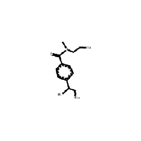 CN(CCO)C(=O)c1ccc(C(CC(C)(C)C)C(C)(C)C)cc1